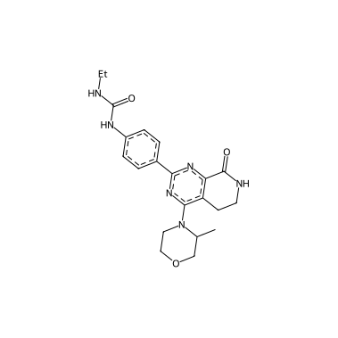 CCNC(=O)Nc1ccc(-c2nc3c(c(N4CCOCC4C)n2)CCNC3=O)cc1